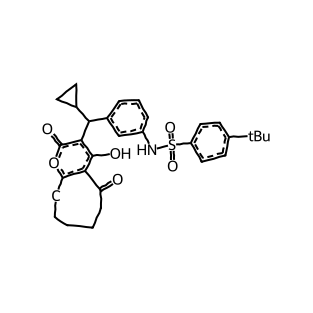 CC(C)(C)c1ccc(S(=O)(=O)Nc2cccc(C(c3c(O)c4c(oc3=O)CCCCCC4=O)C3CC3)c2)cc1